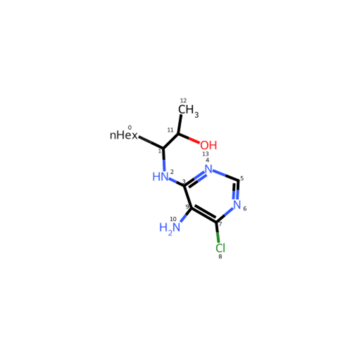 CCCCCCC(Nc1ncnc(Cl)c1N)C(C)O